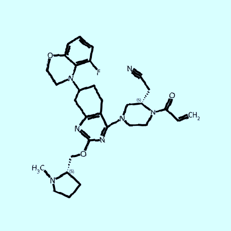 C=CC(=O)N1CCN(c2nc(OC[C@@H]3CCCN3C)nc3c2CCC(N2CCOc4cccc(F)c42)C3)C[C@@H]1CC#N